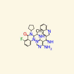 CC(Nc1ncnc(N)c1C(=N)c1cnc2ccccc2c1)c1nc2cccc(F)c2c(=O)n1C1CCCC1